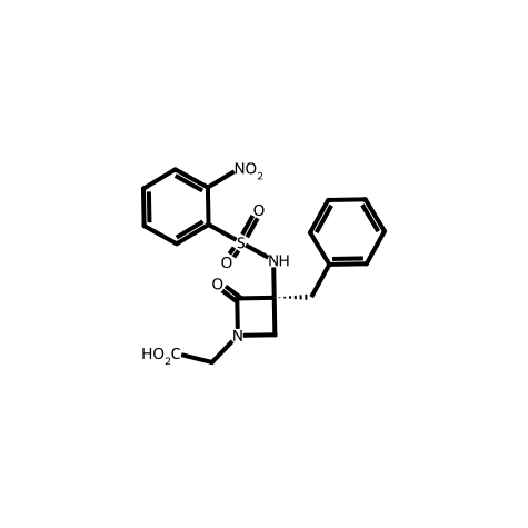 O=C(O)CN1C[C@](Cc2ccccc2)(NS(=O)(=O)c2ccccc2[N+](=O)[O-])C1=O